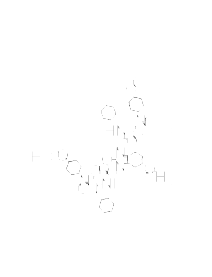 COc1ccc(N(C)C(=O)[C@H](Cc2ccccc2)NC(=O)Cn2c(=O)n(CC(=O)N[C@@H](Cc3ccccc3)C(=O)N(C)c3ccc(OC)cc3)c3cc(OC)ccc32)cc1